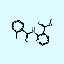 COC(=O)c1cccnc1NC(=O)c1ccccc1C